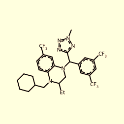 CCC1CN(C(c2cc(C(F)(F)F)cc(C(F)(F)F)c2)c2nnn(C)n2)c2cc(C(F)(F)F)ccc2N1CC1CCCCC1